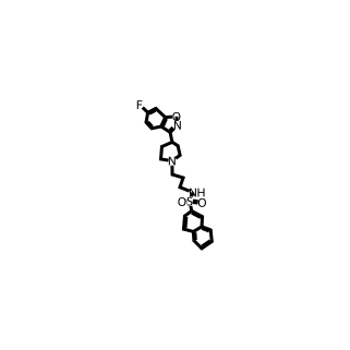 O=S(=O)(NCCCN1CCC(c2noc3cc(F)ccc23)CC1)c1ccc2ccccc2c1